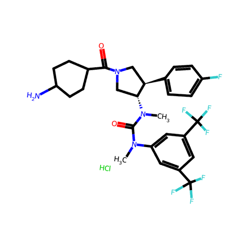 CN(C(=O)N(C)[C@@H]1CN(C(=O)C2CCC(N)CC2)C[C@H]1c1ccc(F)cc1)c1cc(C(F)(F)F)cc(C(F)(F)F)c1.Cl